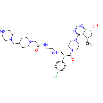 C[C@@H]1C[C@@H](O)c2ncnc(N3CCN(C(=O)[C@H](CNCCNC(=O)CN4CCC(CN5CCNCC5)CC4)c4ccc(Cl)cc4)CC3)c21